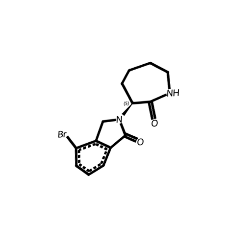 O=C1NCCCC[C@@H]1N1Cc2c(Br)cccc2C1=O